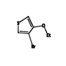 CCOc1cscc1Br